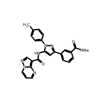 CNC(=O)c1cccc(-c2cc(NC(=O)c3cnn4cccnc34)n(-c3ccc(C)cc3)n2)c1